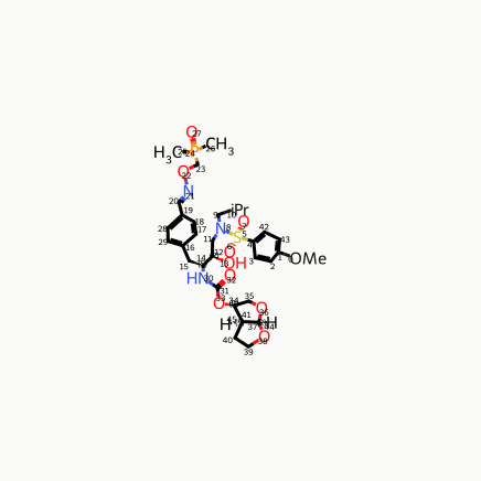 COc1ccc(S(=O)(=O)N(CC(C)C)C[C@@H](O)[C@H](Cc2ccc(C=NOCP(C)(C)=O)cc2)NC(=O)O[C@H]2CO[C@H]3OCC[C@H]32)cc1